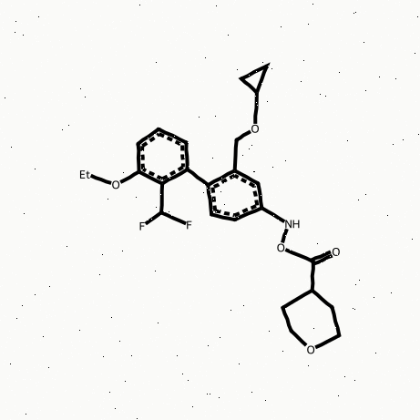 CCOc1cccc(-c2ccc(NOC(=O)C3CCOCC3)cc2COC2CC2)c1C(F)F